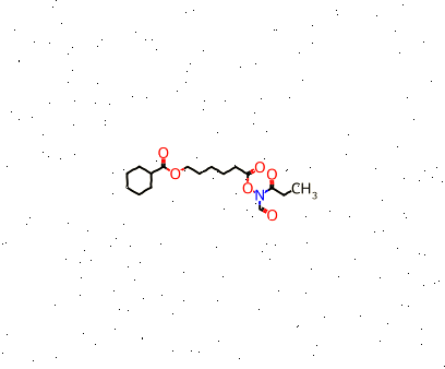 CCC(=O)N(C=O)OC(=O)CCCCCOC(=O)C1CCCCC1